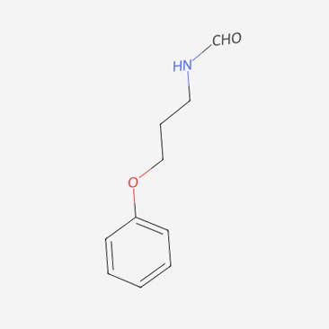 O=CNCCCOc1ccccc1